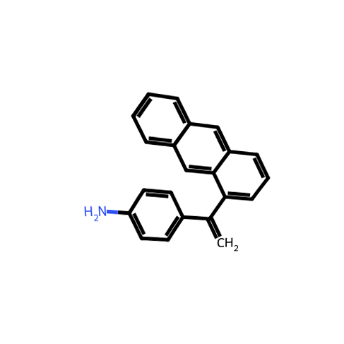 C=C(c1ccc(N)cc1)c1cccc2cc3ccccc3cc12